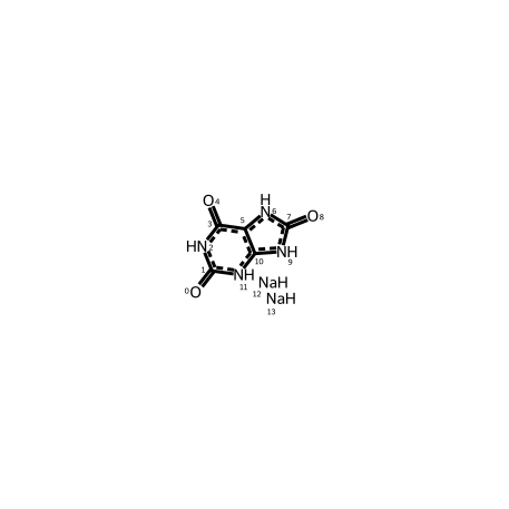 O=c1[nH]c(=O)c2[nH]c(=O)[nH]c2[nH]1.[NaH].[NaH]